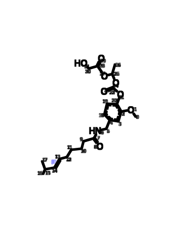 COc1cc(CNC(=O)CCCC/C=C/C(C)C)ccc1OC(=O)OC(C)OC(=O)CO